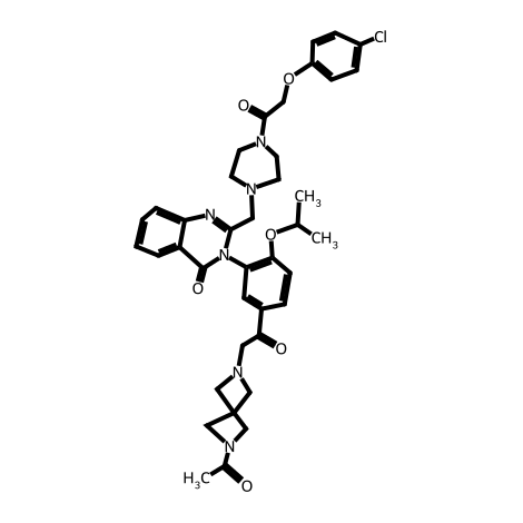 CC(=O)N1CC2(CN(CC(=O)c3ccc(OC(C)C)c(-n4c(CN5CCN(C(=O)COc6ccc(Cl)cc6)CC5)nc5ccccc5c4=O)c3)C2)C1